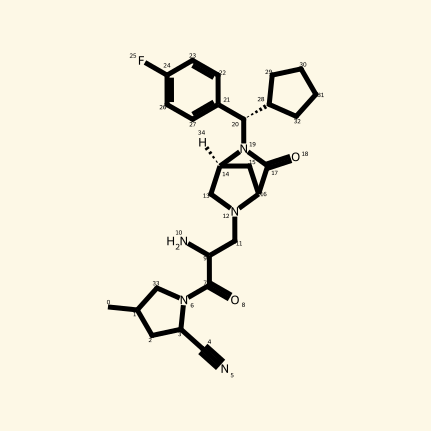 CC1CC(C#N)N(C(=O)C(N)CN2C[C@@H]3CC2C(=O)N3[C@H](c2ccc(F)cc2)C2CCCC2)C1